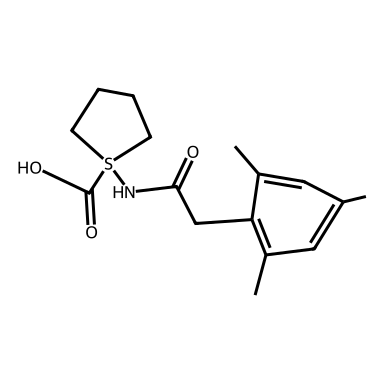 Cc1cc(C)c(CC(=O)NS2(C(=O)O)CCCC2)c(C)c1